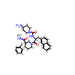 CCNC(=O)[C@]1(Cc2ccccc2)CCCN(C(=O)C(Cc2ccc3ccccc3c2)NC(=O)N2CCC(N)CC2)C1